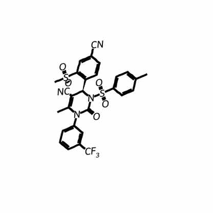 CC1=C(C#N)[C@@H](c2ccc(C#N)cc2S(C)(=O)=O)N(S(=O)(=O)c2ccc(C)cc2)C(=O)N1c1cccc(C(F)(F)F)c1